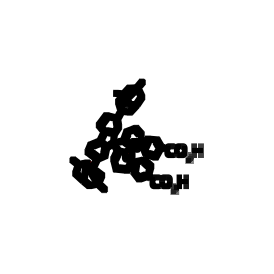 CC12CC3CC(C)(C1)CC(c1ccc4c(c1)C(c1ccccc1Oc1ccc(C(=O)O)cc1)(c1ccccc1Oc1ccc(C(=O)O)cc1)c1cc(C56CC7CC(C)(CC(C)(C7)C5)C6)ccc1-4)(C3)C2